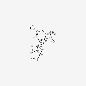 NC(=O)CCCN1C2CCC1CC(c1cccc(O)c1)C2